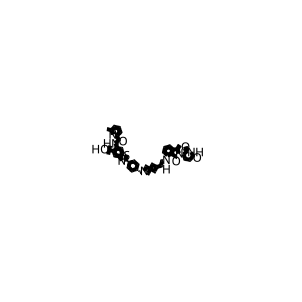 C=C1c2cccc(NCCC3CC4(C3)CN(C[C@H]3CC[C@H](c5nc6cc(C(C)(C)O)c(NC(=O)c7cccc(C)n7)cc6s5)CC3)C4)c2C(=O)N1C1CCC(=O)NC1=O